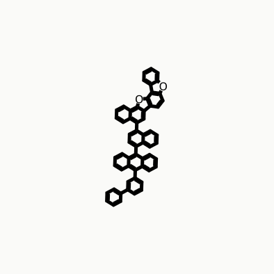 c1ccc(-c2cccc(-c3c4ccccc4c(-c4ccc(-c5cc6c7ccc8oc9ccccc9c8c7oc6c6ccccc56)c5ccccc45)c4ccccc34)c2)cc1